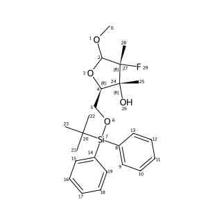 COC1O[C@H](CO[Si](c2ccccc2)(c2ccccc2)C(C)(C)C)[C@@](C)(O)[C@@]1(C)F